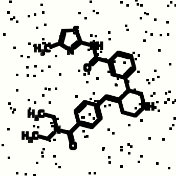 CCN(CC)C(=O)c1ccc(C=C2CCNCC2c2cccc(C(=O)Nc3nc(C)cs3)c2)cc1